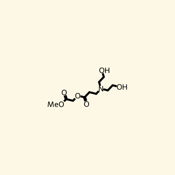 COC(=O)COC(=O)CCN(CCO)CCO